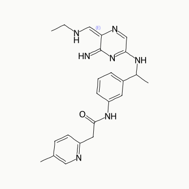 CCN/C=C1/N=CC(NC(C)c2cccc(NC(=O)Cc3ccc(C)cn3)c2)=NC1=N